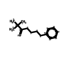 CC(C)(C)C(=O)CCCCc1ccccc1